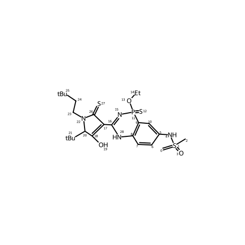 C=S(C)(=O)Nc1ccc2c(c1)P(=S)(OCC)N=C(C1=C(O)C(C(C)(C)C)N(CCC(C)(C)C)C1=S)N2